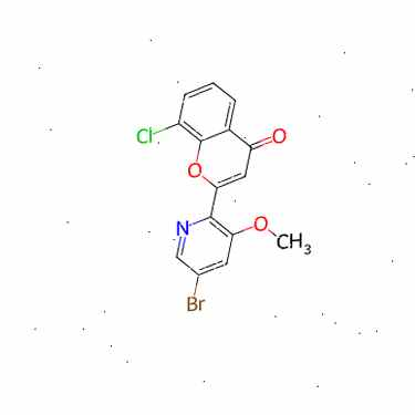 COc1cc(Br)cnc1-c1cc(=O)c2cccc(Cl)c2o1